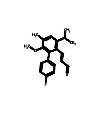 COc1c(C)cc(C(C)C)c(/C=C/C=O)c1-c1ccc(F)cc1